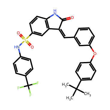 CC(C)(C)c1ccc(Oc2cccc(C=C3C(=O)Nc4ccc(S(=O)(=O)Nc5ccc(C(F)(F)F)cc5)cc43)c2)cc1